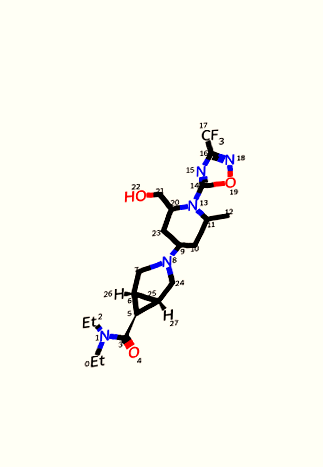 CCN(CC)C(=O)[C@H]1[C@@H]2CN(C3CC(C)N(c4nc(C(F)(F)F)no4)C(CO)C3)C[C@@H]21